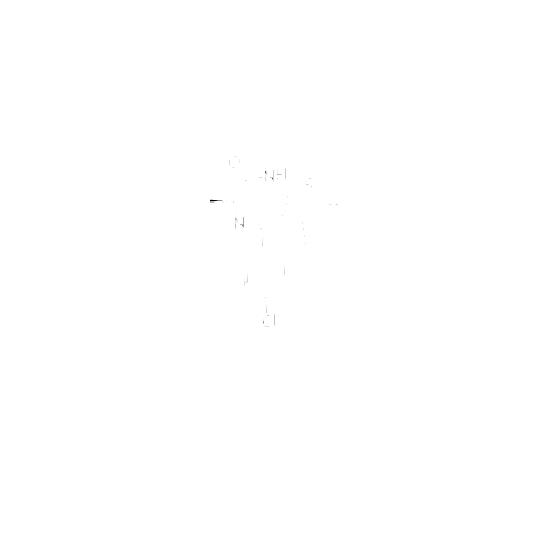 Cc1sc2c(c1C)C(c1ccc(Cl)cc1)=N[C@@H](C)C(=O)N2